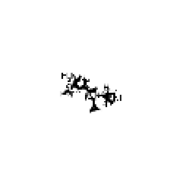 Nc1ncc(-c2cn([C@H]3[C@@H]4CNC[C@@H]43)c(C3CC3)n2)cc1OC(F)F